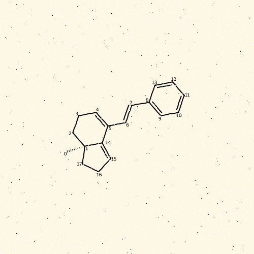 C[C@]12CCC=C(C=Cc3ccccc3)C1=CCC2